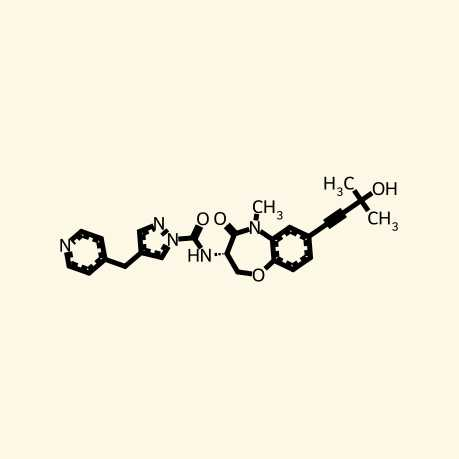 CN1C(=O)[C@@H](NC(=O)n2cc(Cc3ccncc3)cn2)COc2ccc(C#CC(C)(C)O)cc21